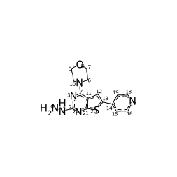 NNc1nc(N2CCOCC2)c2cc(-c3ccncc3)sc2n1